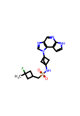 CC1(F)CC(CS(=O)(=O)NC23CC(n4cnc5cnc6[nH]ccc6c54)(C2)C3)C1